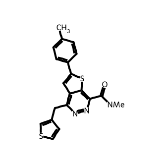 CNC(=O)c1nnc(Cc2ccsc2)c2cc(-c3ccc(C)cc3)sc12